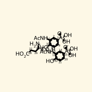 CC(=O)Nc1cc([As](=O)(O)O)ccc1O.CC(=O)Nc1cc([As](=O)(O)O)ccc1O.N[C@@H](CCC(=O)O)C(=O)O